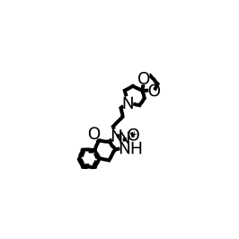 O=C1c2ccccc2CC2N[N+](=O)N(CCCN3CCC4(CC3)OCCO4)C12